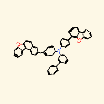 c1ccc(-c2cccc(N(c3ccc(-c4ccc5c(ccc6oc7ccccc7c65)c4)cc3)c3ccc(-c4cccc5c4oc4ccccc45)cc3)c2)cc1